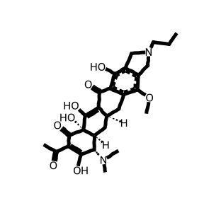 CCCN1Cc2c(O)c3c(c(OC)c2C1)C[C@H]1C[C@H]2[C@H](N(C)C)C(O)=C(C(C)=O)C(=O)[C@@]2(O)C(O)=C1C3=O